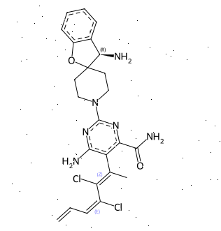 C=C/C=C(Cl)\C(Cl)=C(/C)c1c(N)nc(N2CCC3(CC2)Oc2ccccc2[C@H]3N)nc1C(N)=O